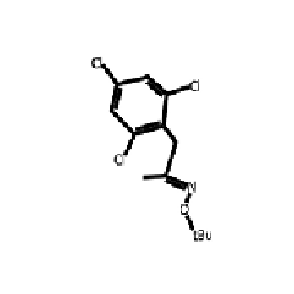 C/C(Cc1c(Cl)cc(Cl)cc1Cl)=N\OC(C)(C)C